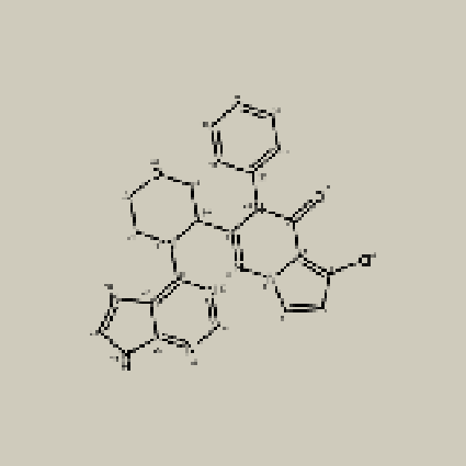 O=c1c2c(Cl)ccn2nc(C2COCCN2c2ncnc3[nH]cnc23)n1-c1ccccc1